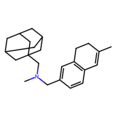 CC1=Cc2ccc(CN(C)CC34CC5CC(CC(C5)C3)C4)cc2CC1